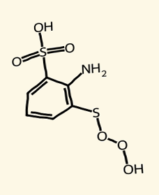 Nc1c(SOOO)cccc1S(=O)(=O)O